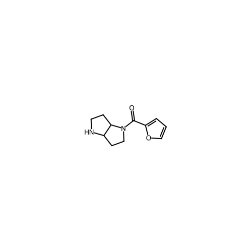 O=C(c1ccco1)N1CCC2NCCC21